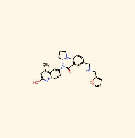 Cc1cc(O)nc2ccc(NC(=O)c3cc(CNCc4ccco4)ccc3N3CCCC3)cc12